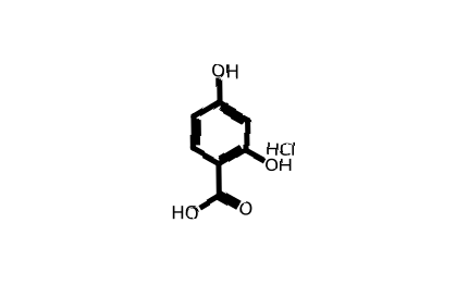 Cl.O=C(O)c1ccc(O)cc1O